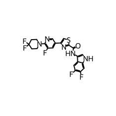 O=C(Nc1c[nH]c2cc(F)c(F)cc12)c1nc(-c2cnc(N3CCC(F)(F)CC3)c(F)c2)cs1